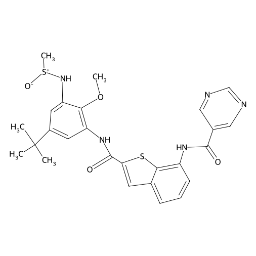 COc1c(NC(=O)c2cc3cccc(NC(=O)c4cncnc4)c3s2)cc(C(C)(C)C)cc1N[S+](C)[O-]